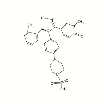 Cc1ccccc1C[C@@H](/C(=N\O)c1ccc(=O)n(C)c1)c1ccc(C2CCN(S(C)(=O)=O)CC2)cc1